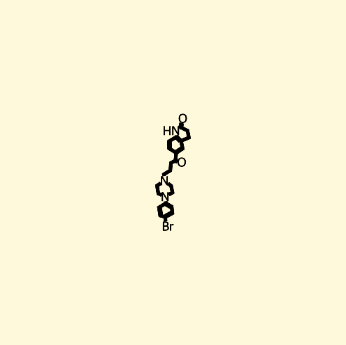 O=C1CCc2cc(C(=O)CCCN3CCN(c4ccc(Br)cc4)CC3)ccc2N1